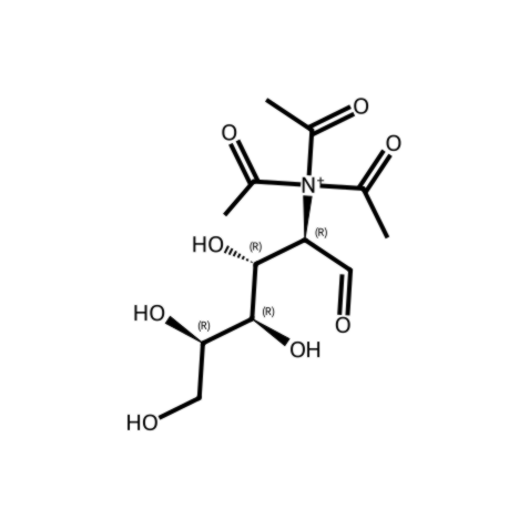 CC(=O)[N+](C(C)=O)(C(C)=O)[C@@H](C=O)[C@@H](O)[C@@H](O)[C@H](O)CO